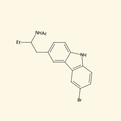 CCC(Cc1ccc2[nH]c3ccc(Br)cc3c2c1)NC(C)=O